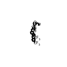 CN(C)CC1CN(C2=NC(=O)C(=Cc3ccc4c(cnn4Cc4ccc(C(F)(F)F)cc4C(F)(F)F)c3)S2)CCO1